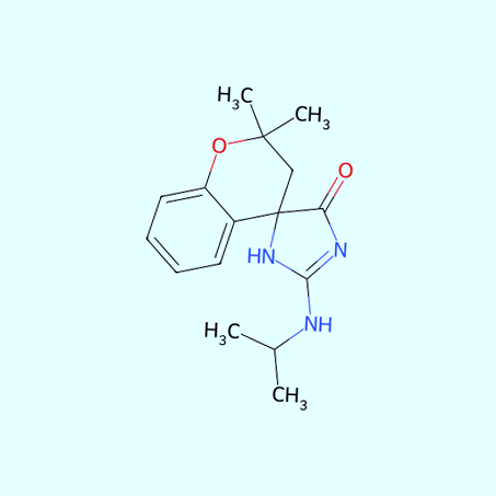 CC(C)NC1=NC(=O)C2(CC(C)(C)Oc3ccccc32)N1